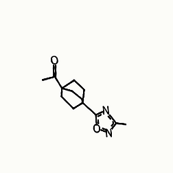 CC(=O)C12CCC(c3nc(C)no3)(CC1)CC2